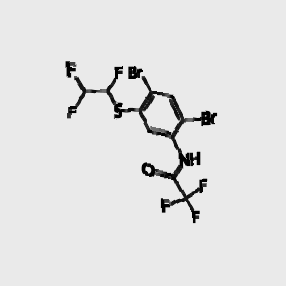 O=C(Nc1cc(SC(F)C(F)F)c(Br)cc1Br)C(F)(F)F